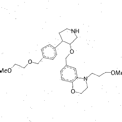 COCCCN1CCOc2ccc(COC3CNCCC3c3ccc(COCCOC)cc3)cc21